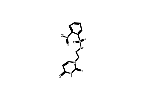 O=c1ccn(CCNS(=O)(=O)c2ccccc2[N+](=O)[O-])c(=O)[nH]1